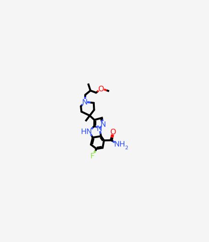 COCC(C)CN1CCC(C)(c2cnn3c2[nH]c2cc(F)cc(C(N)=O)c23)CC1